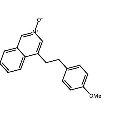 COc1ccc(CCc2c[n+]([O-])cc3ccccc23)cc1